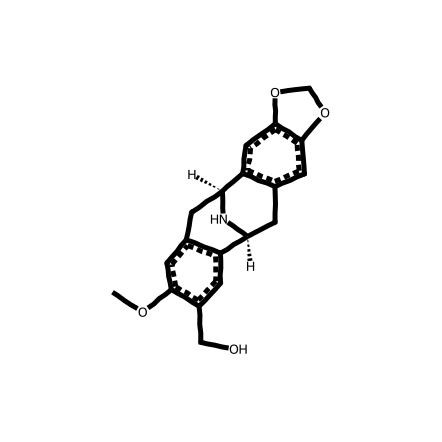 COc1cc2c(cc1CO)[C@@H]1Cc3cc4c(cc3[C@H](C2)N1)OCO4